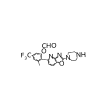 Cc1cc(C(F)(F)F)cc(OC=O)c1-c1ccc2oc(N3CCNCC3)nc2n1